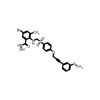 COc1cccc(C#CCOc2ccc(S(=O)(=O)CNc3c(C)cc(Br)cc3C(=O)NO)cc2)c1